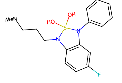 CNCCCN1c2ccc(F)cc2N(c2ccccc2)S1(O)O